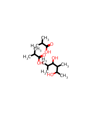 CC(C)C(=O)O.CC(C)C(=O)O.CC(C)C(O)C(C)C(C)O